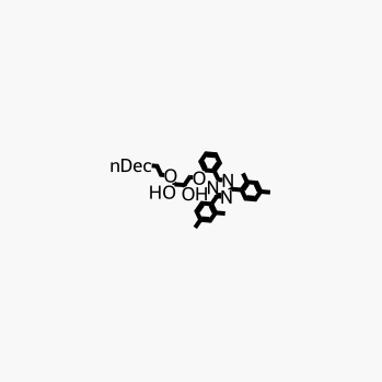 CCCCCCCCCCCCOC(O)C(O)COc1ccccc1-c1nc(-c2ccc(C)cc2C)nc(-c2ccc(C)cc2C)n1